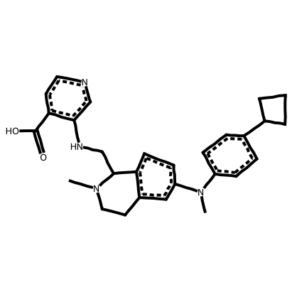 CN(c1ccc(C2CCC2)cc1)c1ccc2c(c1)CCN(C)C2CNc1cnccc1C(=O)O